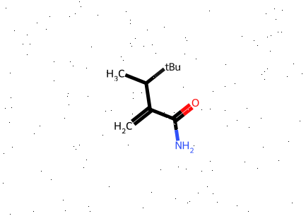 C=C(C(N)=O)C(C)C(C)(C)C